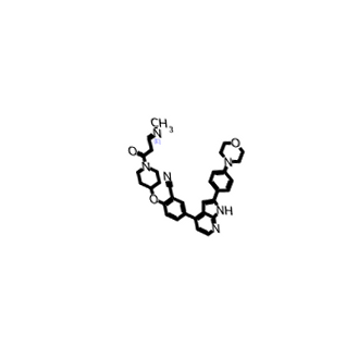 C/N=C/CC(=O)N1CCC(Oc2ccc(-c3ccnc4[nH]c(-c5ccc(N6CCOCC6)cc5)cc34)cc2C#N)CC1